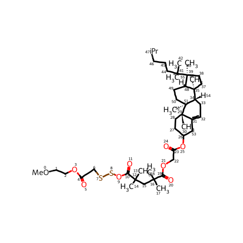 COCCOC(=O)CSSOC(=O)C(C)(C)CC(C)(C)C(=O)OCC(=O)OC1CC[C@@]2(C)C(=CC[C@H]3[C@]4(C)CC[C@](C)(C(C)(C)CCCC(C)C)[C@H]4CC[C@@]32C)C1